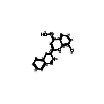 O/N=c1\cc(-c2cc3ccccc3cn2)oc2c(Cl)cccc12